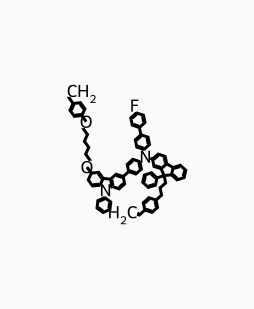 C=Cc1ccc(CCCC2(c3ccccc3)c3ccccc3-c3ccc(N(c4ccc(-c5ccc(F)cc5)cc4)c4ccc(-c5ccc6c(c5)c5c(n6-c6ccccc6)=CCC(OCCCCCCOc6ccc(C=C)cc6)C=5)cc4)cc32)cc1